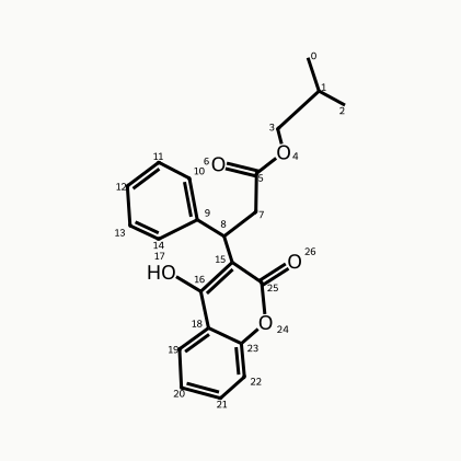 CC(C)COC(=O)CC(c1ccccc1)c1c(O)c2ccccc2oc1=O